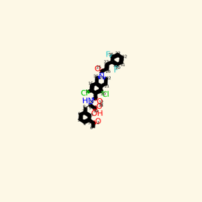 CC(=O)c1cccc(C[C@H](NC(=O)c2c(Cl)cc3c(c2Cl)CCN(C(=O)/C=C/c2c(F)cccc2F)C3)C(=O)O)c1